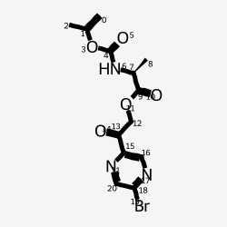 C=C(C)OC(=O)N[C@@H](C)C(=O)OCC(=O)c1cnc(Br)cn1